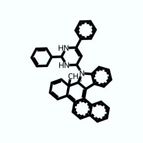 CC12C=CC=CC1=c1ccc3ccccc3c1=C1c3ccccc3N(C3C=C(c4ccccc4)NC(C4C=CC=CC4)N3)C12